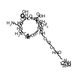 CC(C)[C@@H]1NC(=O)[C@H](CCC(=O)O)NC(=O)CNC(=O)[C@H](Cc2ccc(O)cc2)NC(=O)[C@H](CCCCN)NC(=O)[C@@H](N)Cc2cn(nn2)CCCC[C@@H](C(=O)NCCCOCCOCCOCCCNC(=O)CCCC[C@H]2SC[C@H]3NC(=O)N[C@H]32)NC1=O